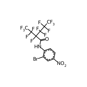 O=C(Nc1ccc([N+](=O)[O-])cc1Br)C(F)(C(F)(F)C(F)(F)F)C(F)(F)C(F)(F)C(F)(F)F